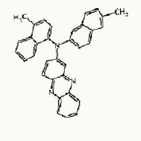 Cc1ccc2cc(N(c3ccc4nc5ccccc5nc4c3)c3ccc(C)c4ccccc34)ccc2c1